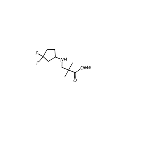 COC(=O)C(C)(C)CNC1CCC(F)(F)C1